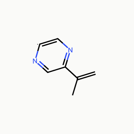 C=C(C)c1cn[c]cn1